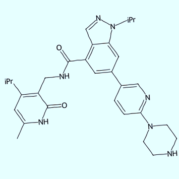 Cc1cc(C(C)C)c(CNC(=O)c2cc(-c3ccc(N4CCNCC4)nc3)cc3c2cnn3C(C)C)c(=O)[nH]1